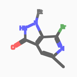 CCn1[nH]c(=O)c2cc(C)nc(Br)c21